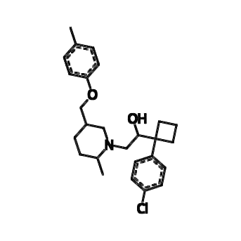 Cc1ccc(OCC2CCC(C)N(CC(O)C3(c4ccc(Cl)cc4)CCC3)C2)cc1